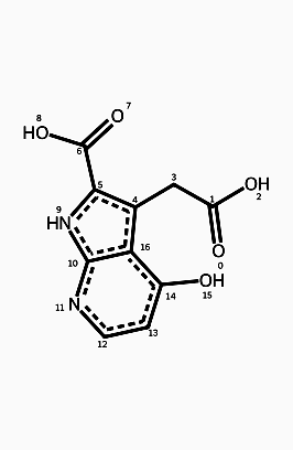 O=C(O)Cc1c(C(=O)O)[nH]c2nccc(O)c12